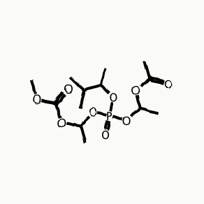 COC(=O)OC(C)OP(=O)(OC(C)OC(C)=O)OC(C)C(C)C